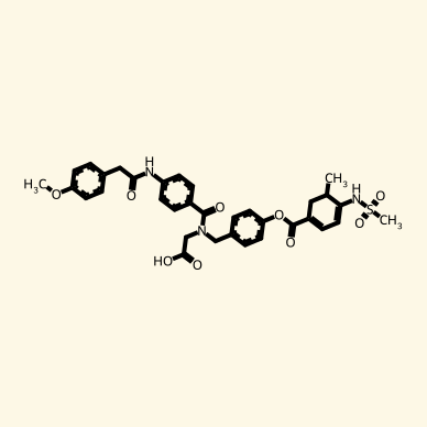 COc1ccc(CC(=O)Nc2ccc(C(=O)N(CC(=O)O)Cc3ccc(OC(=O)C4=CC=C(NS(C)(=O)=O)C(C)C4)cc3)cc2)cc1